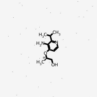 CC(C)c1nccc(O[C@H](C)CO)c1N